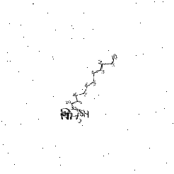 CCCCCCCCCCCC(S)ON